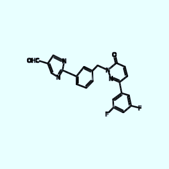 O=Cc1cnc(-c2cccc(Cn3nc(-c4cc(F)cc(F)c4)ccc3=O)c2)nc1